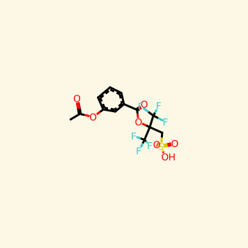 CC(=O)Oc1cccc(C(=O)OC(CS(=O)(=O)O)(C(F)(F)F)C(F)(F)F)c1